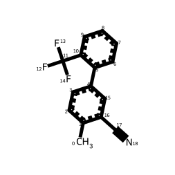 Cc1ccc(-c2ccccc2C(F)(F)F)cc1C#N